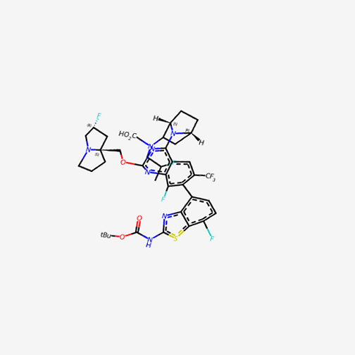 CC(F)CN(C(=O)O)C1C[C@H]2CC[C@@H]1N2c1nc(OC[C@@]23CCCN2C[C@H](F)C3)nc2c(F)c(-c3ccc(F)c4sc(NC(=O)OC(C)(C)C)nc34)c(C(F)(F)F)cc12